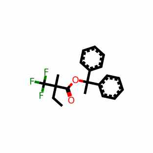 CCC(C)(C(=O)OC(C)(c1ccccc1)c1ccccc1)C(F)(F)F